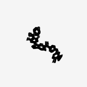 O=C(c1c(F)cc(-n2ccc3cnc(Nc4ccc(CN5CCNC6(CC6)C5)cc4)nc32)cc1F)N1CCOCC1